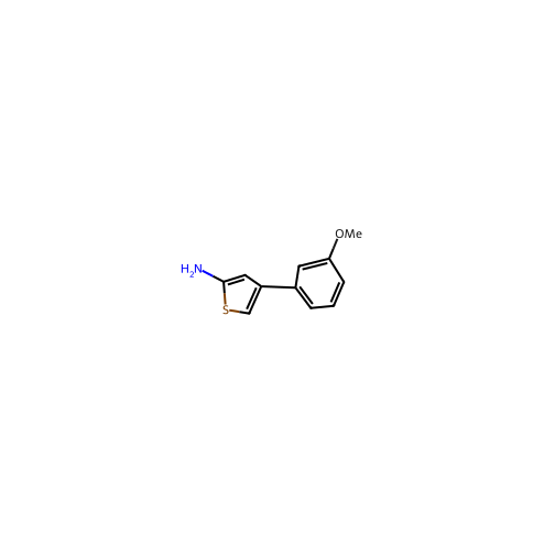 COc1cccc(-c2csc(N)c2)c1